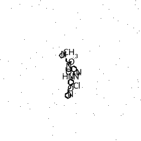 CN1CCC[C@H]1/C=C/C(=O)N1CCOc2c1ccc1ncnc(Nc3ccc(OCc4ccccn4)c(Cl)c3)c21